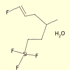 CC(CC=CF)CC[Si](F)(F)F.O